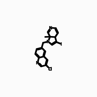 CC12C=NC=CC1C(I)=CN2Cc1ccc2ncc(Cl)cc2c1